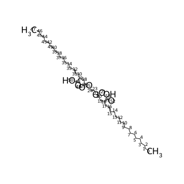 CCCCCCCCCCCCCCC/C=C/CC(CC(=O)OCCOC(=O)CC(C/C=C/CCCCCCCCCCCCCCC)C(=O)O)C(=O)O